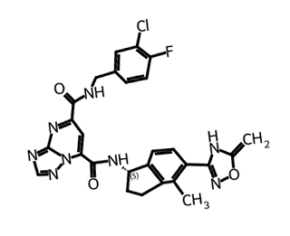 C=C1NC(c2ccc3c(c2C)CC[C@@H]3NC(=O)c2cc(C(=O)NCc3ccc(F)c(Cl)c3)nc3ncnn23)=NO1